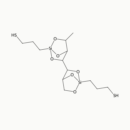 CC1O[Si]2(CCCS)OC1C(C1O[Si]3(CCCS)OCC1O3)O2